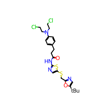 CC(C)(C)c1cnc(CSc2cnc(NC(=O)CCc3ccc(N(CCCl)CCCl)cc3)s2)o1